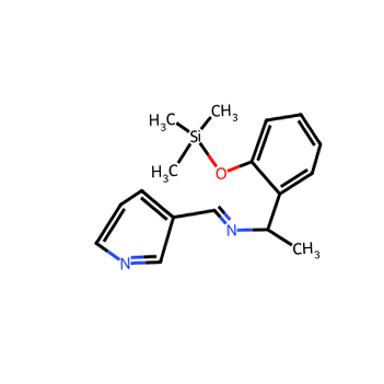 CC(N=Cc1cccnc1)c1ccccc1O[Si](C)(C)C